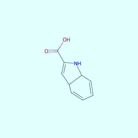 O=C(O)C1=CC2C=CC=CC2N1